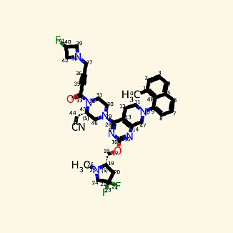 Cc1cccc2cccc(N3CCc4c(nc(OC[C@@H]5CC(F)(F)CN5C)nc4N4CCN(C(=O)C#CCN5CC(F)C5)[C@@H](CC#N)C4)C3)c12